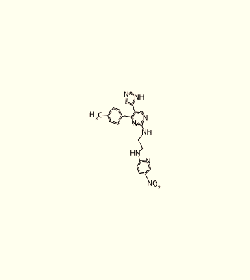 Cc1ccc(-c2nc(NCCNc3ccc([N+](=O)[O-])cn3)ncc2-c2cnc[nH]2)cc1